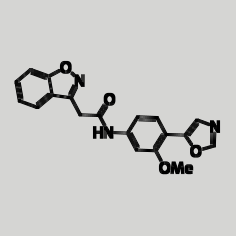 COc1cc(NC(=O)Cc2noc3ccccc23)ccc1-c1cnco1